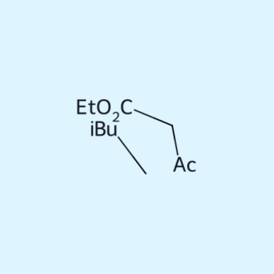 CCOC(=O)CC(C)=O.[CH2]CC(C)C